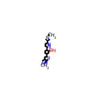 CCN1CC(c2ccc(-c3ccc(-c4cc5cn(C)nc5cn4)cc3O)nn2)C1